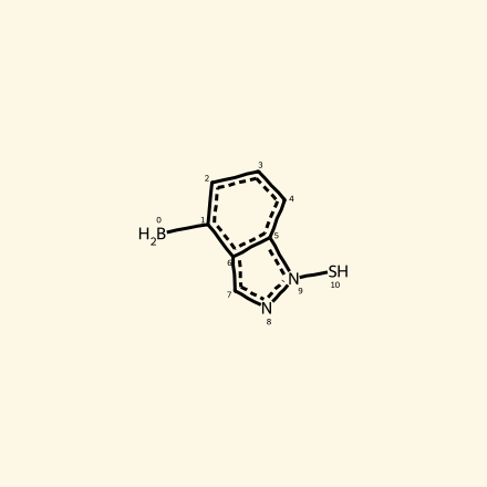 Bc1cccc2c1cnn2S